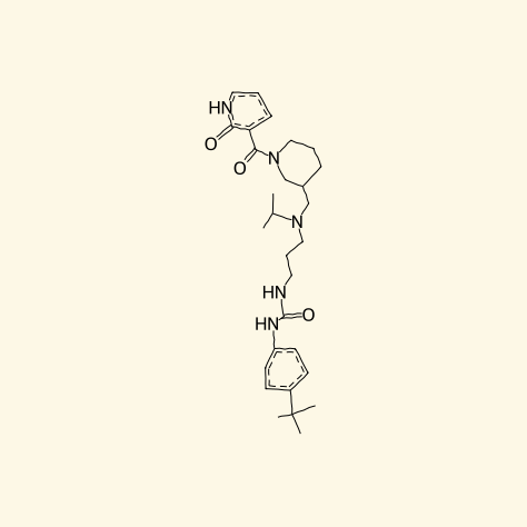 CC(C)N(CCCNC(=O)Nc1ccc(C(C)(C)C)cc1)CC1CCCN(C(=O)c2ccc[nH]c2=O)C1